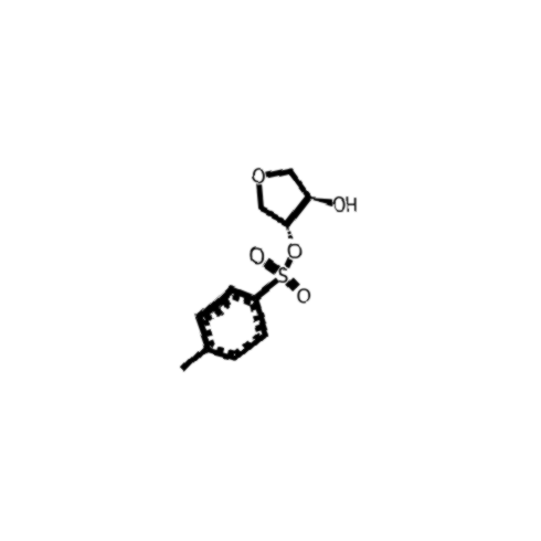 Cc1ccc(S(=O)(=O)O[C@@H]2COC[C@H]2O)cc1